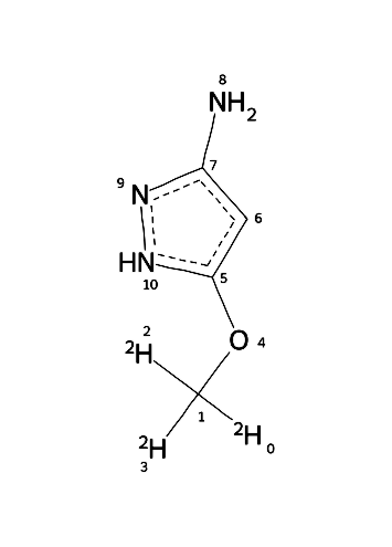 [2H]C([2H])([2H])Oc1cc(N)n[nH]1